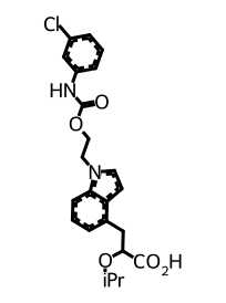 CC(C)OC(Cc1cccc2c1ccn2CCOC(=O)Nc1cccc(Cl)c1)C(=O)O